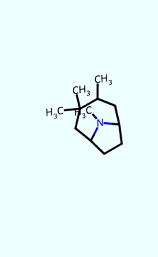 CC1CC2CCC(CC1(C)C)N2C